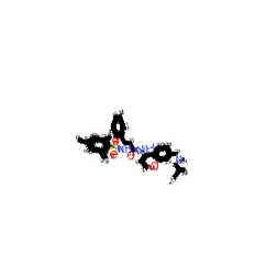 Cc1cc(C)c(S(=O)(=O)NC(CC(=O)NC2CCOc3cc(CN(C)CC(C)C)ccc32)c2ccccc2)c(C)c1